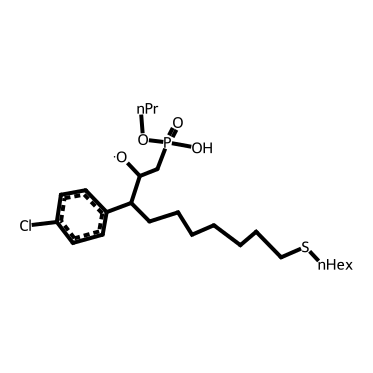 CCCCCCSCCCCCCCC(c1ccc(Cl)cc1)C([O])CP(=O)(O)OCCC